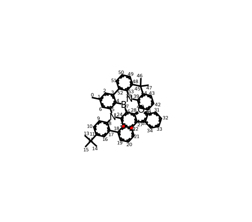 Cc1cc2c3c(c1)N(c1ccc(C(C)(C)C)cc1-c1ccccc1)c1ccc4c(oc5ccccc54)c1B3N1c3ccccc3C(C)(C)c3cccc-2c31